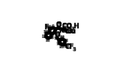 CC(C)(C)C(NC(=O)c1cc(F)c2ccccc2c1OCc1ccc(C(F)(F)F)cc1)C(=O)O